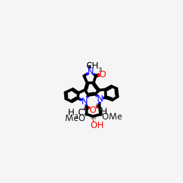 COC1[C@H](O)C(OC)[C@]2(C)O[C@H]1n1c3ccccc3c3c4c(c5c6ccccc6n2c5c31)CN(C)C4=O